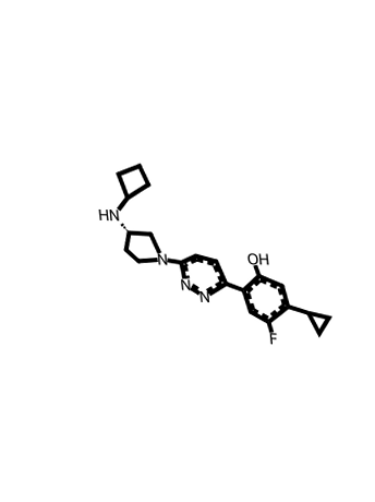 Oc1cc(C2CC2)c(F)cc1-c1ccc(N2CC[C@H](NC3CCC3)C2)nn1